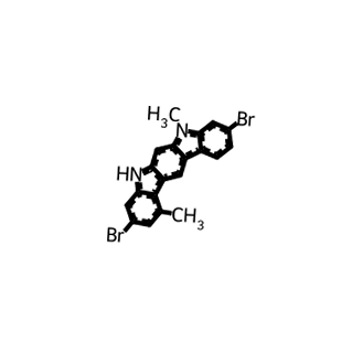 Cc1cc(Br)cc2[nH]c3cc4c(cc3c12)c1ccc(Br)cc1n4C